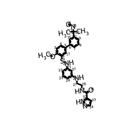 COc1ccc(-c2cccc(C(C)(C)N=O)c2)cc1SNc1cccc(NCCNC(=O)c2ccn[nH]2)c1